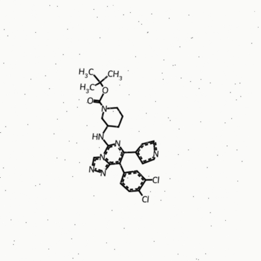 CC(C)(C)OC(=O)N1CCCC(Nc2nc(-c3ccncc3)c(-c3ccc(Cl)c(Cl)c3)c3nncn23)C1